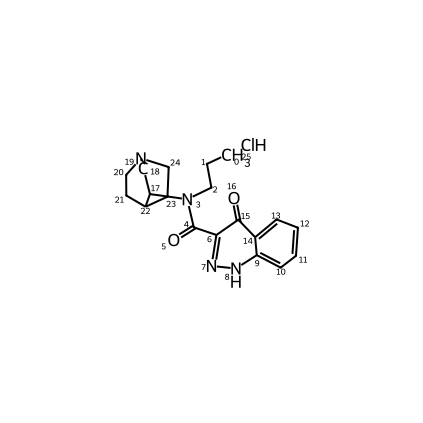 CCCN(C(=O)c1n[nH]c2ccccc2c1=O)C1CN2CCC1CC2.Cl